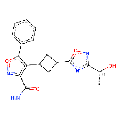 C[C@@H](O)c1noc(C2CC(c3c(C(N)=O)noc3-c3ccccc3)C2)n1